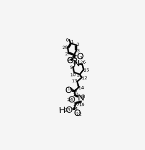 Cc1ccc(S(=O)(=O)N2CCC(CCCC(=O)c3ncc(C(=O)O)o3)CC2)cc1